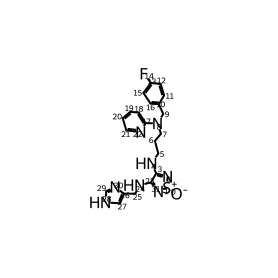 [O-][s+]1nc(NCCCN(Cc2ccc(F)cc2)c2ccccn2)c(NCc2c[nH]cn2)n1